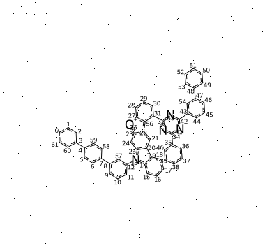 c1ccc(-c2ccc(-c3cccc(-n4c5ccccc5c5cc6c(cc54)oc4cccc(-c5nc(-c7ccccc7)nc(-c7cccc(-c8ccccc8)c7)n5)c46)c3)cc2)cc1